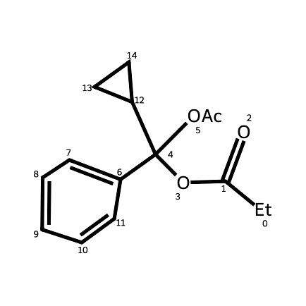 CCC(=O)OC(OC(C)=O)(c1ccccc1)C1CC1